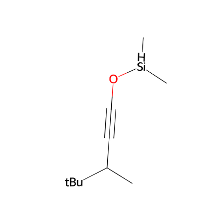 CC(C#CO[SiH](C)C)C(C)(C)C